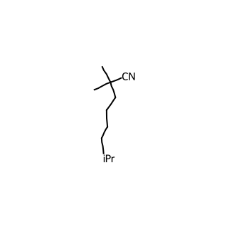 CC(C)CCCCC(C)(C)C#N